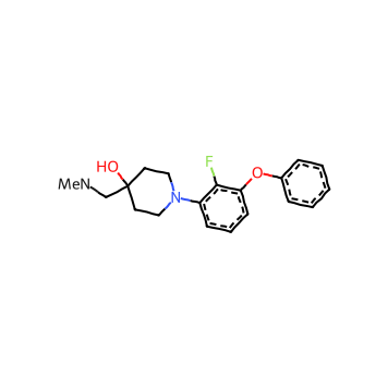 CNCC1(O)CCN(c2cccc(Oc3ccccc3)c2F)CC1